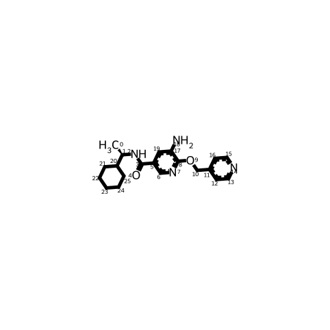 C[C@@H](NC(=O)c1cnc(OCc2ccncc2)c(N)c1)C1CCCCC1